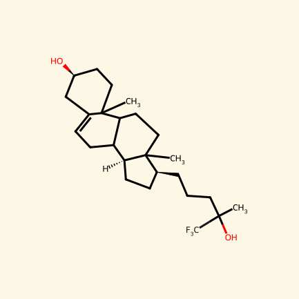 CC12CC[C@H](O)CC1=CCC1C2CCC2(C)[C@@H](CCCC(C)(O)C(F)(F)F)CC[C@@H]12